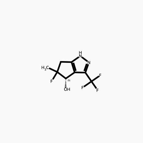 CC1(F)Cc2[nH]nc(C(F)(F)F)c2[C@@H]1O